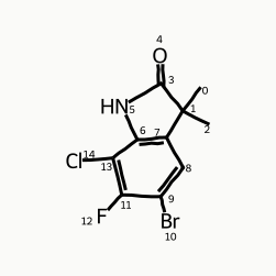 CC1(C)C(=O)Nc2c1cc(Br)c(F)c2Cl